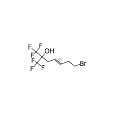 OC(C/C=C/CCBr)(C(F)(F)F)C(F)(F)F